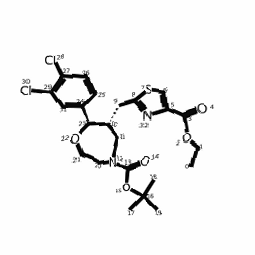 CCOC(=O)c1csc(C[C@@H]2CN(C(=O)OC(C)(C)C)CCO[C@H]2c2ccc(Cl)c(Cl)c2)n1